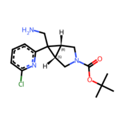 CC(C)(C)OC(=O)N1C[C@@H]2[C@H](C1)C2(CN)c1cccc(Cl)n1